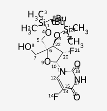 CC(C)(C)[Si](C)(C)OC[C@@]1(CO)O[C@@H](n2cc(F)c(=O)[nH]c2=O)[C@@H](F)[C@@H]1O[Si](C)(C)C(C)(C)C